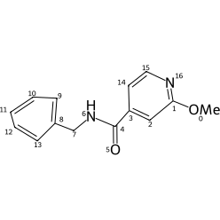 COc1cc(C(=O)NCc2ccccc2)ccn1